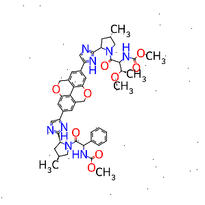 COC(=O)NC(C(=O)N1C[C@@H](C)C[C@H]1c1ncc(-c2cc3c4c(c2)OCc2cc(-c5cnc(C6C[C@H](C)CN6C(=O)C(NC(=O)OC)[C@@H](C)OC)[nH]5)cc(c2-4)OC3)[nH]1)c1ccccc1